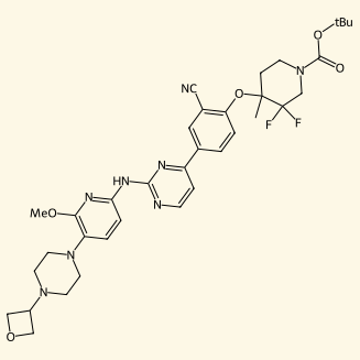 COc1nc(Nc2nccc(-c3ccc(OC4(C)CCN(C(=O)OC(C)(C)C)CC4(F)F)c(C#N)c3)n2)ccc1N1CCN(C2COC2)CC1